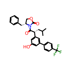 CC(C)C[C@@H](C(=O)N1C(=O)OC[C@H]1Cc1ccccc1)c1cc(O)cc(-c2ccc(C(F)(F)F)cc2)c1